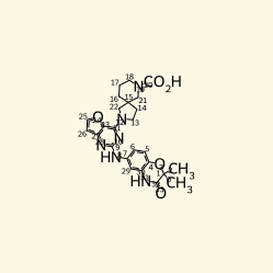 CC1(C)Oc2ccc(Nc3nc(N4CCC5(CCCN(C(=O)O)C5)C4)c4occc4n3)cc2NC1=O